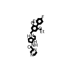 CCOc1cc(CN2CC[C@H]3C(NC(=O)c4cnccn4)CC[C@H]32)cc(OCC)c1-c1ccc(F)cc1